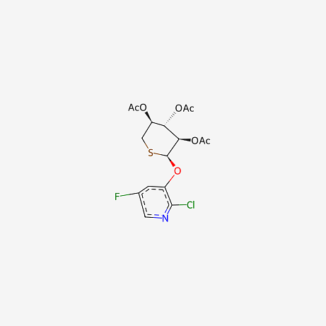 CC(=O)O[C@@H]1[C@@H](OC(C)=O)[C@@H](Oc2cc(F)cnc2Cl)SC[C@H]1OC(C)=O